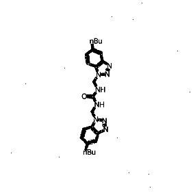 CCCCc1ccc2c(c1)nnn2CNC(=O)NCn1nnc2cc(CCCC)ccc21